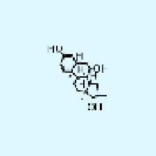 C[C@@H]1C[C@H]2[C@@H]3[C@@H](O)C[C@H]4C=C(O)C=C[C@]4(C)[C@H]3CC[C@]2(C)[C@H]1O